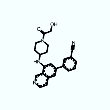 N#Cc1cccc(-c2cc(NC3CCN(C(=O)CO)CC3)c3cnccc3c2)c1